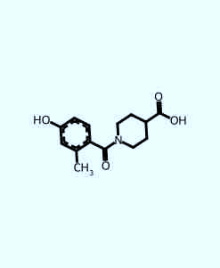 Cc1cc(O)ccc1C(=O)N1CCC(C(=O)O)CC1